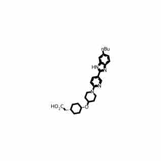 CCCCc1ccc2nc(-c3ccc(N4CCC(O[C@H]5CC[C@@H](CC(=O)O)CC5)CC4)nc3)[nH]c2c1